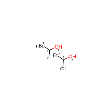 CCC(O)CC.CCCCC(C)O